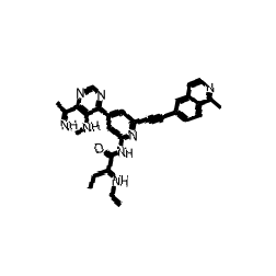 CCNC(CC)C(=O)Nc1cc(-c2ncnc(C(C)=N)c2NC)cc(C#Cc2ccc3c(C)nccc3c2)n1